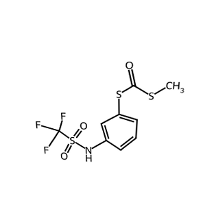 CSC(=O)Sc1cccc(NS(=O)(=O)C(F)(F)F)c1